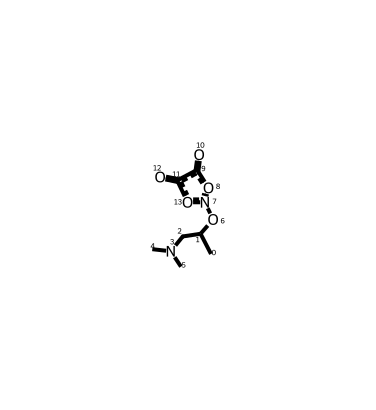 CC(CN(C)C)On1oc(=O)c(=O)o1